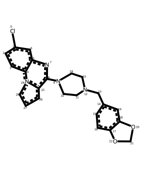 Clc1ccc2c(c1)nc(N1CCN(Cc3ccc4c(c3)OCO4)CC1)c1cccn12